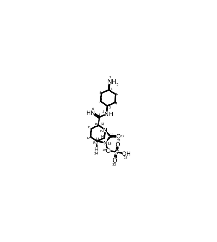 N=C(NC1CCC(N)CC1)[C@@H]1CC[C@@H]2CN1C(=O)N2OS(=O)(=O)O